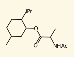 CC(=O)NC(C)C(=O)OC1CC(C)CCC1C(C)C